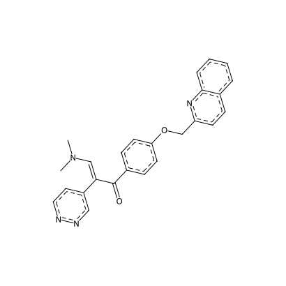 CN(C)C=C(C(=O)c1ccc(OCc2ccc3ccccc3n2)cc1)c1ccnnc1